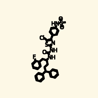 CS(=O)(=O)Nc1ccc(-c2nc(NC(=O)NC(CCC(c3ccccc3)c3ccccc3)Cc3ccccc3F)sc2Cl)cc1